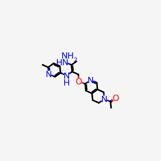 CC(=O)N1CCc2cc(OC/C(Nc3ccc(C)nc3)=C(\C)NN)ncc2C1